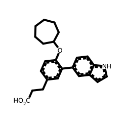 O=C(O)CCc1ccc(OC2CCCCCC2)c(-c2ccc3[nH]ccc3c2)c1